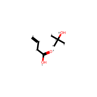 C=CCC(=O)O.CC(C)(C)O